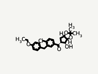 CCOc1ccc(Cc2cc(C(=O)[C@@H]3C[C@H]4OC(C)(C)O[C@H]4[C@@H]3O)ccc2Cl)cc1